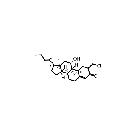 CCCO[C@@H]1CC[C@H]2[C@@H]3CCC4=CC(=O)C(CCl)C[C@]4(C)[C@H]3[C@@H](O)C[C@]12C